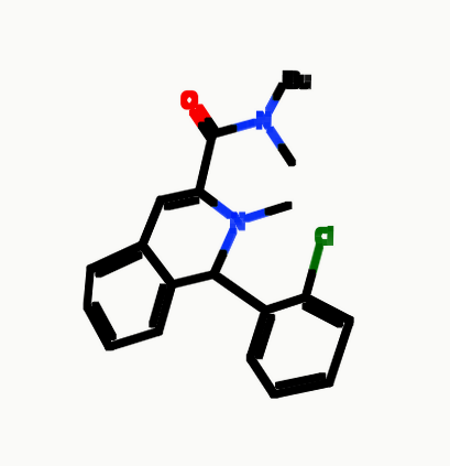 CCC(C)N(C)C(=O)C1=Cc2ccccc2C(c2ccccc2Cl)N1C